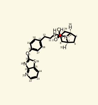 CC(=O)N1[C@@H]2CC[C@H]1CC(NCCc1ccc(Oc3nc4ncccc4s3)cc1)C2